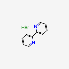 Br.c1ccc(-c2ccccn2)nc1